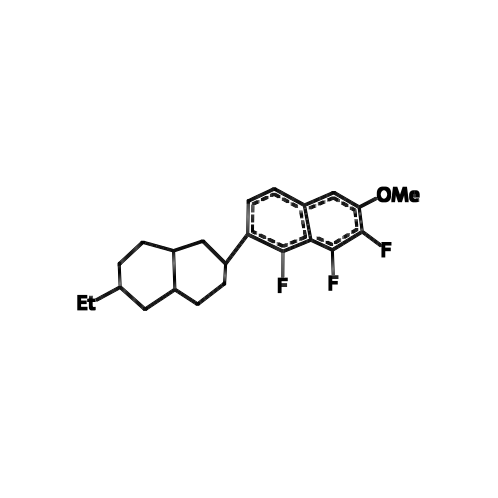 CCC1CCC2CC(c3ccc4cc(OC)c(F)c(F)c4c3F)CCC2C1